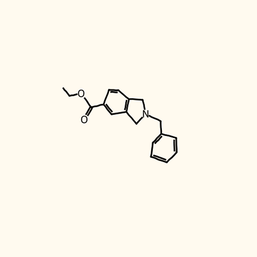 CCOC(=O)c1ccc2c(c1)CN(Cc1ccccc1)C2